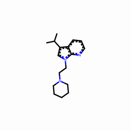 CC(C)c1cn(CCN2CCCCC2)c2ncccc12